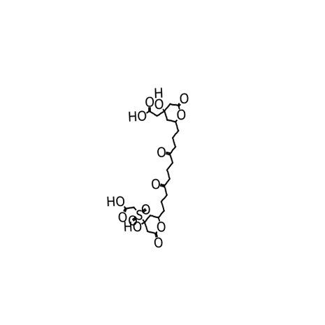 O=C(O)CC1(O)CC(=O)OC(CCCC(=O)CCCC(=O)CCCC2CC(O)(S(=O)(=O)CC(=O)O)CC(=O)O2)C1